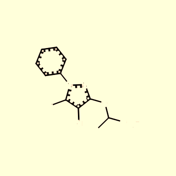 CC(Oc1nn(-c2ccccc2)c(I)c1Cl)C(=O)O